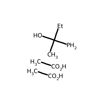 CC(=O)O.CC(=O)O.CCC(C)(O)P